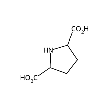 O=C(O)C1CCC(C(=O)O)N1